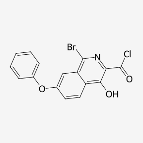 O=C(Cl)c1nc(Br)c2cc(Oc3ccccc3)ccc2c1O